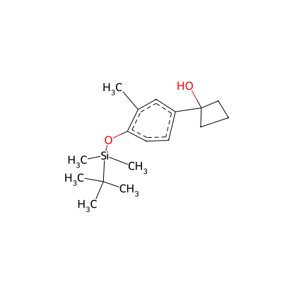 Cc1cc(C2(O)CCC2)ccc1O[Si](C)(C)C(C)(C)C